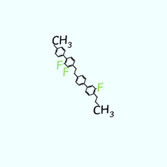 CCCCc1ccc(-c2ccc(CCc3ccc(-c4ccc(CC)cc4)c(F)c3F)cc2)cc1F